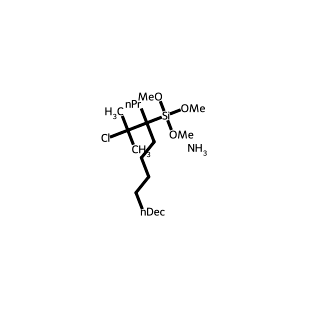 CCCCCCCCCCCCCCC(CCC)(C(C)(C)Cl)[Si](OC)(OC)OC.N